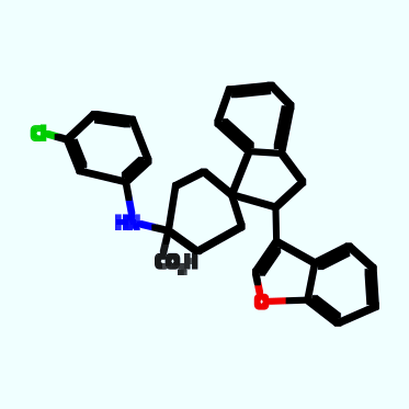 O=C(O)C1(Nc2cccc(Cl)c2)CCC2(CC1)c1ccccc1CC2c1coc2ccccc12